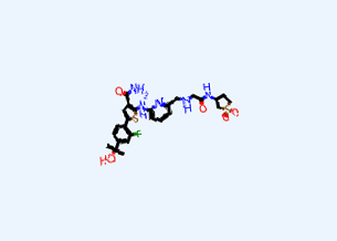 CC(C)(O)c1ccc(-c2cc(C(N)=O)c(Nc3cccc(CNCC(=O)NC4CCS(=O)(=O)C4)n3)s2)c(F)c1